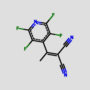 CC(=C(C#N)C#N)c1c(F)c(F)nc(F)c1F